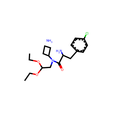 CCOC(CN(C(=O)C(N)Cc1ccc(Cl)cc1)C1CCC1)OCC.N